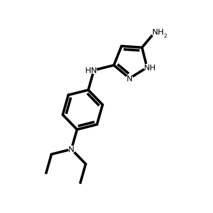 CCN(CC)c1ccc(Nc2cc(N)[nH]n2)cc1